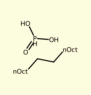 CCCCCCCCCCCCCCCCCC.O=[PH](O)O